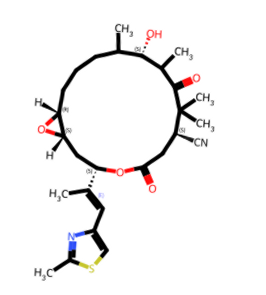 C/C(=C\c1csc(C)n1)[C@@H]1C[C@@H]2O[C@@H]2CCCC(C)[C@H](O)C(C)C(=O)C(C)(C)[C@@H](C#N)CC(=O)O1